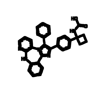 O=C(O)NC1(c2ccc(-c3nc4n(c3-c3ccccc3)-c3cccnc3Nc3ccccc3-4)cc2)CCC1